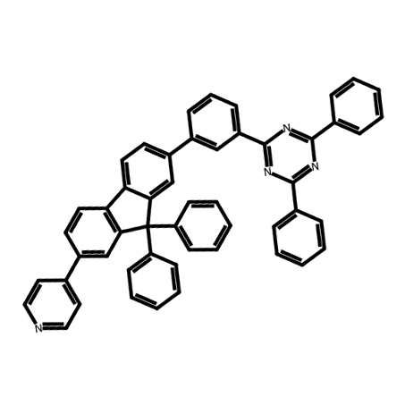 c1ccc(-c2nc(-c3ccccc3)nc(-c3cccc(-c4ccc5c(c4)C(c4ccccc4)(c4ccccc4)c4cc(-c6ccncc6)ccc4-5)c3)n2)cc1